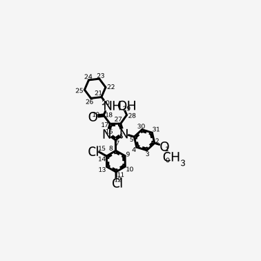 COc1ccc(-n2c(-c3ccc(Cl)cc3Cl)nc(C(=O)NC3CCCCC3)c2CO)cc1